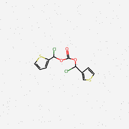 O=C(OC(Cl)c1ccsc1)OC(Cl)c1cccs1